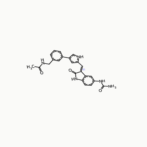 CC(=O)NCc1cccc(-c2c[nH]c(/C=C3\C(=O)Nc4ccc(NC(N)=O)cc43)c2)c1